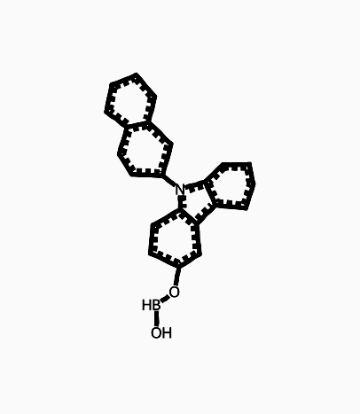 OBOc1ccc2c(c1)c1ccccc1n2-c1ccc2ccccc2c1